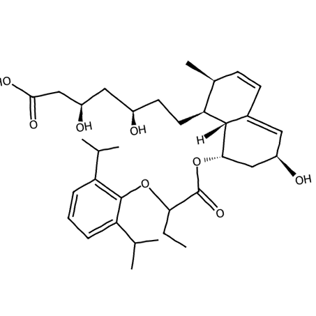 CCC(Oc1c(C(C)C)cccc1C(C)C)C(=O)O[C@H]1C[C@H](O)C=C2C=C[C@H](C)[C@H](CC[C@@H](O)C[C@@H](O)CC(=O)O)[C@H]21